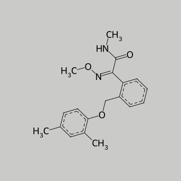 CNC(=O)C(=NOC)c1ccccc1COc1ccc(C)cc1C